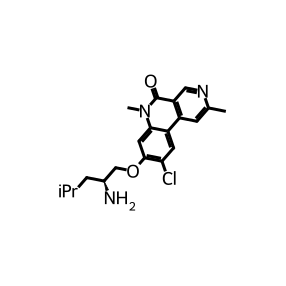 Cc1cc2c(cn1)c(=O)n(C)c1cc(OC[C@@H](N)CC(C)C)c(Cl)cc21